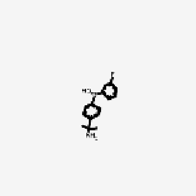 CC(C)(N)c1ccc(B(O)c2cccc(F)c2)cc1